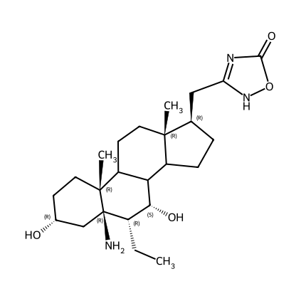 CC[C@H]1[C@@H](O)C2C3CC[C@H](Cc4nc(=O)o[nH]4)[C@@]3(C)CCC2[C@@]2(C)CC[C@@H](O)C[C@@]12N